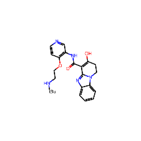 CC(C)(C)NCCOc1ccncc1NC(=O)C1=C(O)CCn2c1nc1ccccc12